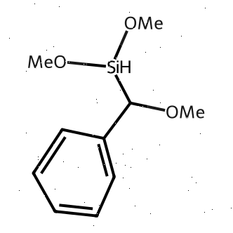 COC(c1ccccc1)[SiH](OC)OC